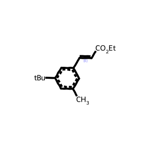 CCOC(=O)/C=C/c1cc(C)cc(C(C)(C)C)c1